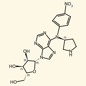 O=[N+]([O-])c1ccc(N(c2ncnc3c2ncn3[C@@H]2O[C@H](CO)[C@@H](O)[C@H]2O)[C@H]2CCNC2)cc1